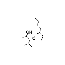 CCCCC(CC)COC(C(C)C)C(C)O